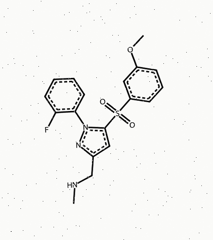 CNCc1cc(S(=O)(=O)c2cccc(OC)c2)n(-c2ccccc2F)n1